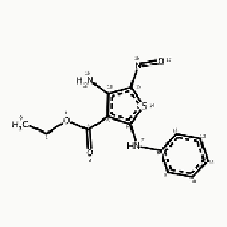 CCOC(=O)c1c(Nc2ccccc2)sc(N=O)c1N